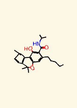 CCCCCc1cc2c(c(O)c1C(=O)NC(C)C)-c1cc(C)ccc1C(C)(C)O2